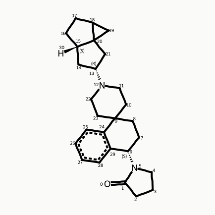 O=C1CCCN1[C@H]1CCC2(CCN([C@@H]3C[C@@H]4CCC5CC54C3)CC2)c2ccccc21